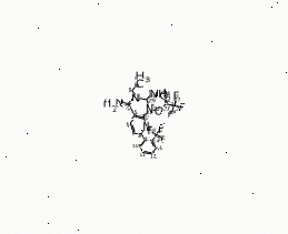 CCN1C(N)c2ccc(-c3ccccc3C(F)(F)F)nc2N(OC(=O)C(F)(F)F)C1N